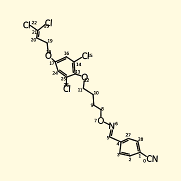 N#Cc1ccc(/C=N/OCCCCOc2c(Cl)cc(OCC=C(Cl)Cl)cc2Cl)cc1